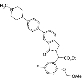 CCOC(=O)C(c1cc(F)ccc1OCOC)N1Cc2ccc(-c3ccc(C4CCN(C)CC4)cc3)cc2C1=O